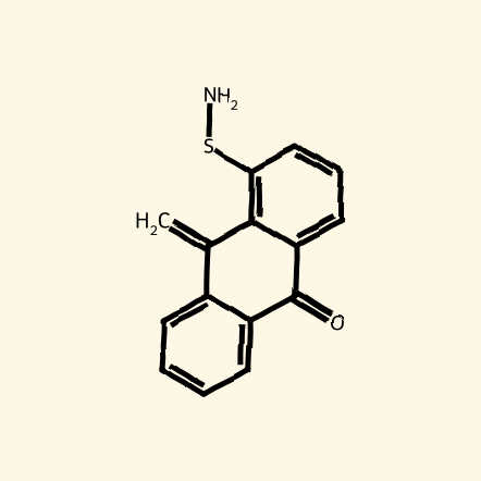 C=C1c2ccccc2C(=O)c2cccc(SN)c21